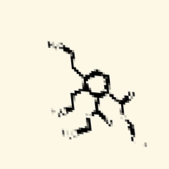 C=CCc1ccc(C(=O)OC=C)c(C(=O)OC=C)c1CC=C